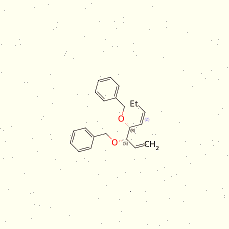 C=C[C@H](OCc1ccccc1)[C@@H](/C=C\CC)OCc1ccccc1